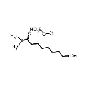 CCCCCCCCCCCCCCCCCC(=O)N(C)C.CCOS(=O)(=O)O